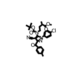 COC(=O)C(C)CCN(C(=O)OC(C)(C)C)c1c(C#N)c(C(=O)c2ccc(C)cc2)nn1-c1ccc(Cl)cc1